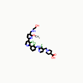 COc1nc(-c2ccnc(-c3cccc(Nc4nccc(CN5CCC(C(=O)O)CC5)c4F)c3Cl)c2Cl)ccc1CNCCO